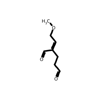 COCC=C(C=O)CCC=O